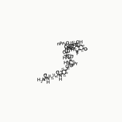 CCCC1O[C@@H]2CC3[C@@H]4C[C@H](F)C5=CC(=O)C=C[C@]5(C)[C@@]4(F)[C@@H](O)C[C@]3(C)[C@]2(C(=O)COC(=O)C(C)(C)NC(=O)[C@H](CC(C)C)NC(=O)OCc2ccc(NC(=O)CCCCNC(N)=O)cc2)O1